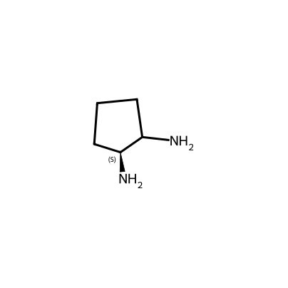 NC1CCC[C@@H]1N